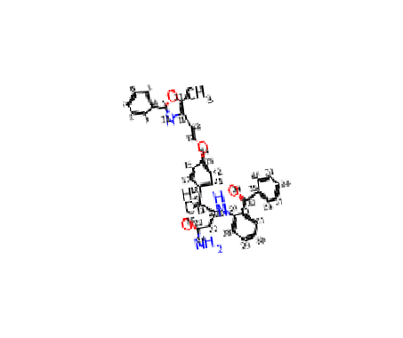 Cc1oc(-c2ccccc2)nc1CCOc1ccc(C(C)[C@H](CC(N)=O)Nc2ccccc2C(=O)c2ccccc2)cc1